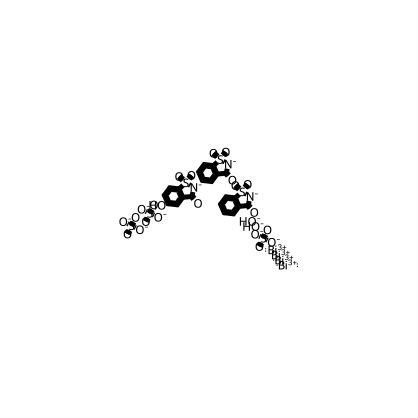 O=C1[N-]S(=O)(=O)c2ccccc21.O=C1[N-]S(=O)(=O)c2ccccc21.O=C1[N-]S(=O)(=O)c2ccccc21.O=S(=O)([O-])[O-].O=S(=O)([O-])[O-].O=S(=O)([O-])[O-].[Bi+3].[Bi+3].[Bi+3].[Bi+3].[OH-].[OH-].[OH-]